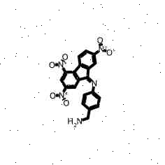 NCc1ccc(N=C2c3cc([N+](=O)[O-])ccc3-c3c2cc([N+](=O)[O-])cc3[N+](=O)[O-])cc1